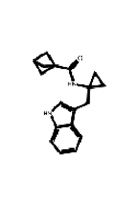 O=C(NC1(Cc2c[nH]c3ccccc23)CC1)C12CC(C1)C2